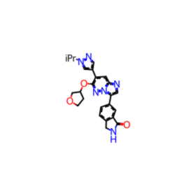 CC(C)n1cc(-c2cc3ncc(-c4ccc5c(c4)C(=O)NC5)n3nc2OC2CCOC2)cn1